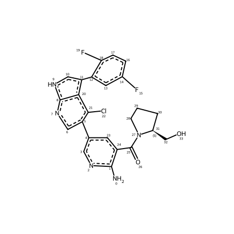 Nc1ncc(-c2cnc3[nH]cc(-c4cc(F)ccc4F)c3c2Cl)cc1C(=O)N1CCC[C@H]1CO